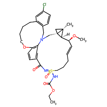 CCOC(=O)N[S@@]1(=O)=NC(=O)c2ccc3c(c2)N(Cc2ccc(Cl)cc2CCCCO3)C[C@]23C[C@@]2(C)[C@H]3[C@@H](OC)/C=C/CCC1